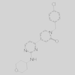 O=c1cc(-c2ccnc(NC3CCOCC3)n2)ccn1Cc1ccc(Cl)cc1